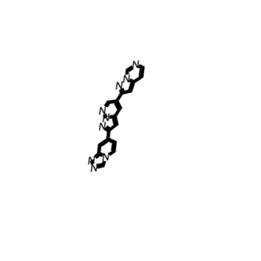 c1cc2cc(-c3cnn4nc(-c5ccn6cnnc6c5)cc4c3)nn2cn1